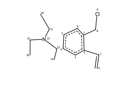 C=Cc1ccccc1CCl.CCN(CC)CC